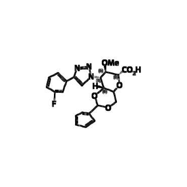 CO[C@@H]1[C@@H](n2cc(-c3cccc(F)c3)nn2)[C@H]2OC(c3ccccc3)OCC2O[C@H]1C(=O)O